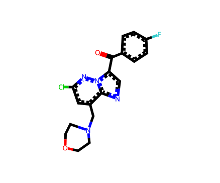 O=C(c1ccc(F)cc1)c1cnc2c(CN3CCOCC3)cc(Cl)nn12